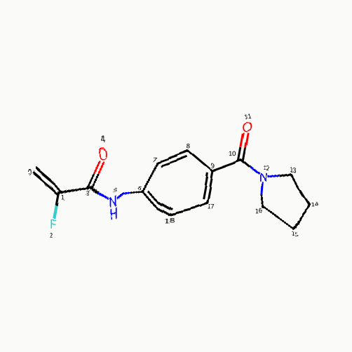 C=C(F)C(=O)Nc1ccc(C(=O)N2CCCC2)cc1